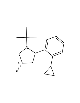 CC(C)(C)N1C[C@@H](F)CC1c1ccccc1C1CC1